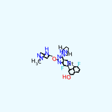 CCc1c(F)ccc2cc(O)cc(-c3ncc4c(N5C[C@H]6CC[C@@H](C5)N6)nc(OCc5cc6c(cnn6C)[nH]5)nc4c3F)c12